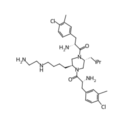 Cc1cc(C[C@@H](N)C(=O)N2C[C@H](CCCCNCCN)N(C(=O)[C@H](N)Cc3ccc(Cl)c(C)c3)C[C@H]2CC(C)C)ccc1Cl